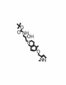 Cc1c(OCc2ccnn2C)ccc2c1CCN(C[C@@H](O)CNC(=O)OC(C)(C)C)C2